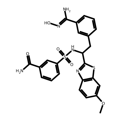 COc1ccc2nc(C(Cc3cccc(C(N)=NO)c3)NS(=O)(=O)c3cccc(C(N)=O)c3)sc2c1